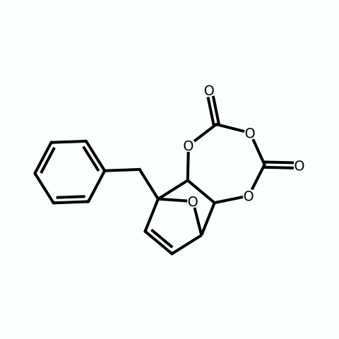 O=C1OC(=O)OC2C(O1)C1C=CC2(Cc2ccccc2)O1